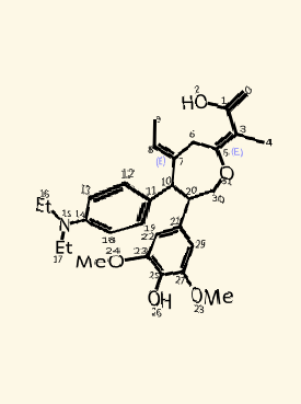 C=C(O)/C(C)=C1\C/C(=C\C)C(c2ccc(N(CC)CC)cc2)C(c2cc(OC)c(O)c(OC)c2)CO1